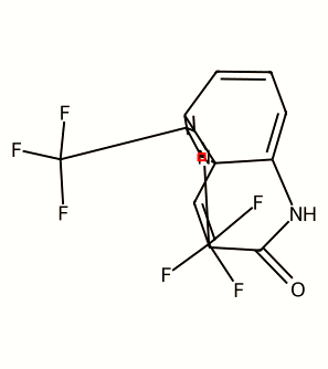 O=C1C=CC23C(=CC(C(F)(F)F)=CN2C(F)(F)F)C=CC=C3N1